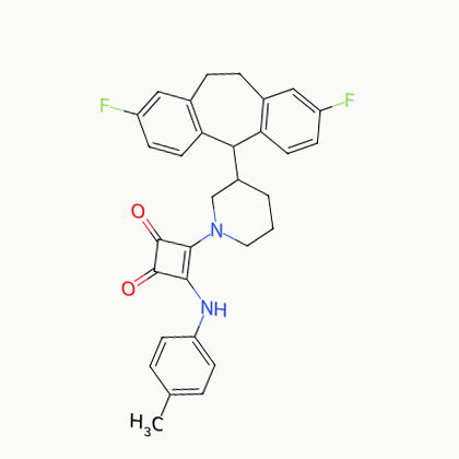 Cc1ccc(Nc2c(N3CCCC(C4c5ccc(F)cc5CCc5cc(F)ccc54)C3)c(=O)c2=O)cc1